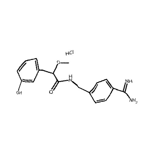 COC(C(=O)NCc1ccc(C(=N)N)cc1)c1cccc(O)c1.Cl